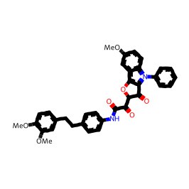 COc1ccc2c(c1)c1c(n2-c2ccccc2)C(=O)C(C(=O)C(=O)Nc2ccc(CCc3ccc(OC)c(OC)c3)cc2)O1